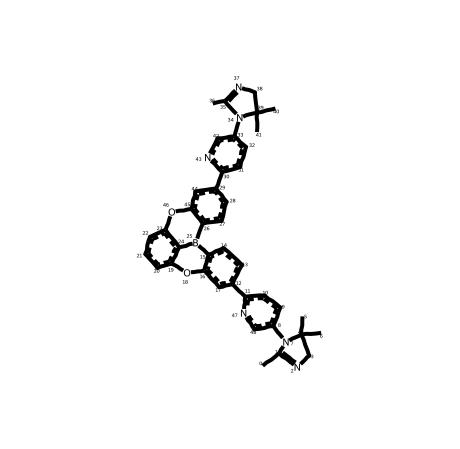 CC1=NCC(C)(C)N1c1ccc(-c2ccc3c(c2)Oc2cccc4c2B3c2ccc(-c3ccc(N5C(C)=NCC5(C)C)cn3)cc2O4)nc1